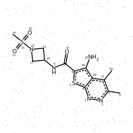 Cc1nnc2sc(C(=O)NC3CN(S(C)(=O)=O)C3)c(N)c2c1C